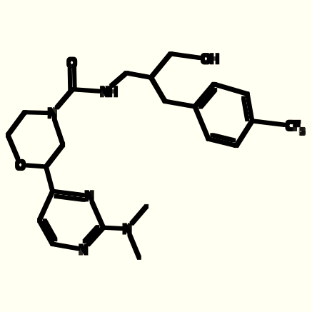 CN(C)c1nccc(C2CN(C(=O)NCC(CO)Cc3ccc(C(F)(F)F)cc3)CCO2)n1